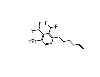 C=CCCCCc1ccc(CCC)c(C(F)F)c1C(F)F